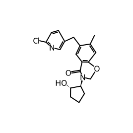 Cc1cc2c(cc1Cc1ccc(Cl)nc1)C(=O)N([C@H]1CCC[C@@H]1O)CO2